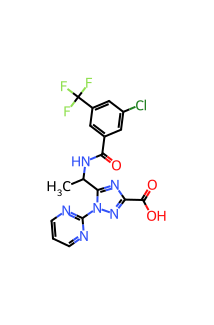 CC(NC(=O)c1cc(Cl)cc(C(F)(F)F)c1)c1nc(C(=O)O)nn1-c1ncccn1